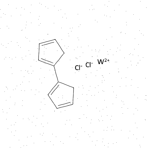 C1=CCC(C2=CC=CC2)=C1.[Cl-].[Cl-].[W+2]